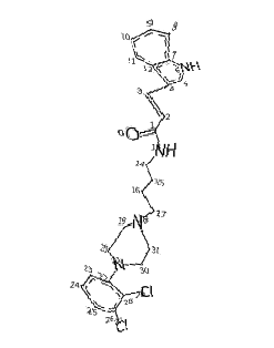 O=C(C=Cc1c[nH]c2ccccc12)NCCCCN1CCN(c2cccc(Cl)c2Cl)CC1